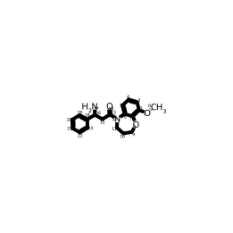 COc1cccc2c1OCCCN2C(=O)CC(N)c1ccccc1